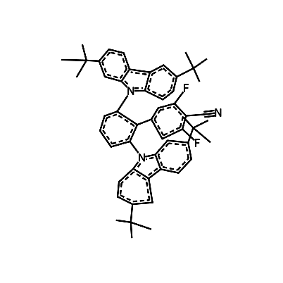 CC(C)(C)c1ccc2c(c1)c1ccc(C(C)(C)C)cc1n2-c1cccc(-n2c3ccc(C(C)(C)C)cc3c3ccc(C(C)(C)C)cc32)c1-c1cc(F)c(C#N)c(F)c1